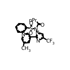 CCCC(=O)N(n1cc(C(F)(F)F)nc1-c1cncc(C)c1)S(=O)(=O)c1ccccc1